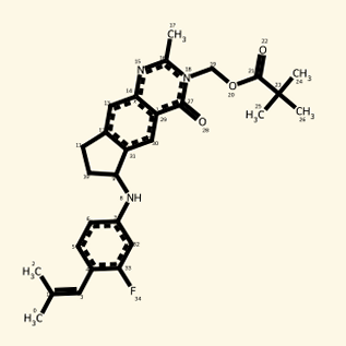 CC(C)=Cc1ccc(NC2CCc3cc4nc(C)n(COC(=O)C(C)(C)C)c(=O)c4cc32)cc1F